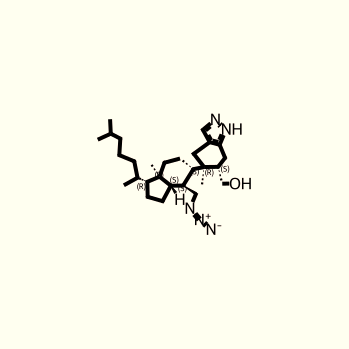 CC(C)CCCC(C)[C@H]1CC[C@H]2[C@H](CN=[N+]=[N-])[C@@H]([C@@]3(C)Cc4cn[nH]c4C[C@@H]3CO)CC[C@]12C